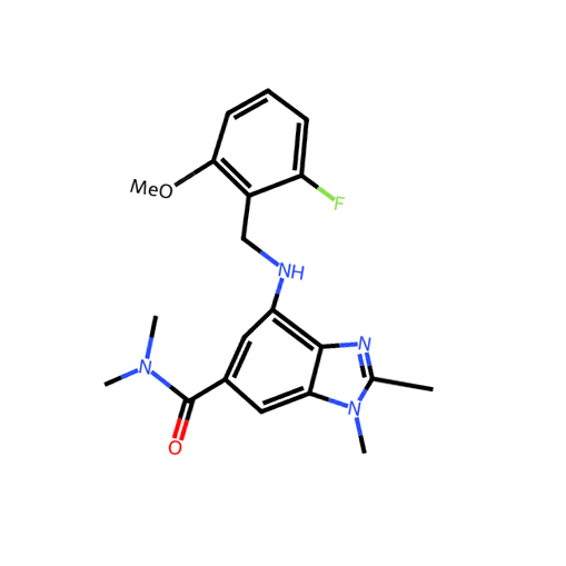 COc1cccc(F)c1CNc1cc(C(=O)N(C)C)cc2c1nc(C)n2C